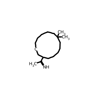 CC(=N)C1CCCCCCCC(C)(C)CCCCC1